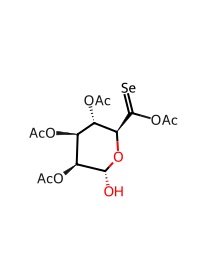 CC(=O)OC(=[Se])[C@H]1O[C@H](O)[C@@H](OC(C)=O)[C@@H](OC(C)=O)[C@@H]1OC(C)=O